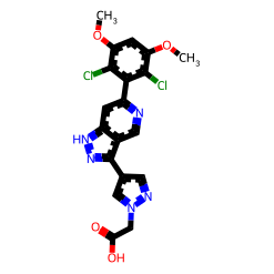 COc1cc(OC)c(Cl)c(-c2cc3[nH]nc(-c4cnn(CC(=O)O)c4)c3cn2)c1Cl